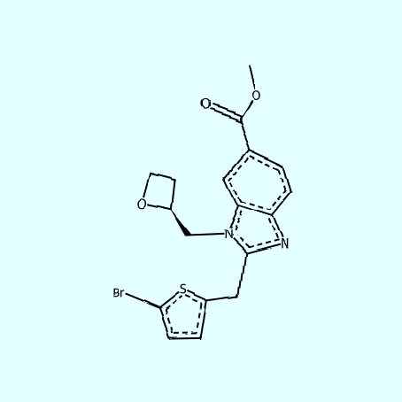 COC(=O)c1ccc2nc(Cc3ccc(Br)s3)n(C[C@@H]3CCO3)c2c1